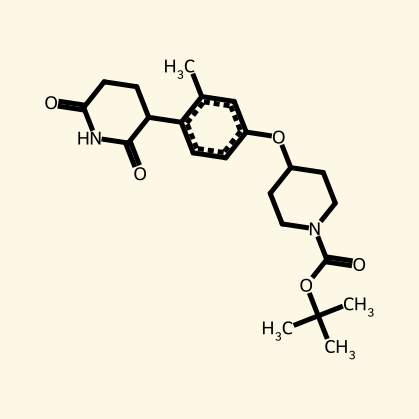 Cc1cc(OC2CCN(C(=O)OC(C)(C)C)CC2)ccc1C1CCC(=O)NC1=O